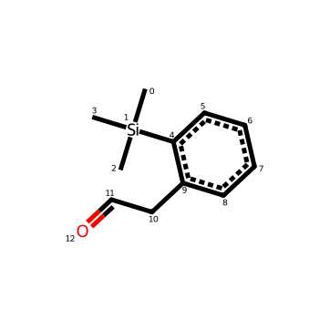 C[Si](C)(C)c1ccccc1CC=O